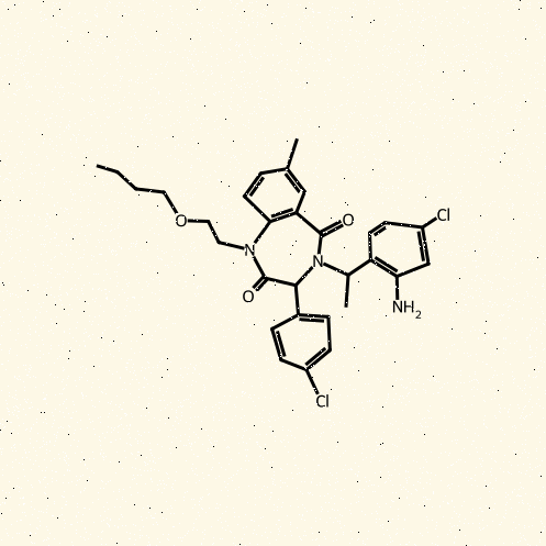 CCCCOCCN1C(=O)C(c2ccc(Cl)cc2)N(C(C)c2ccc(Cl)cc2N)C(=O)c2cc(C)ccc21